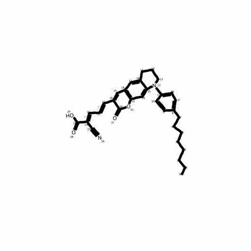 CCCCCCCCc1ccc(N2CCCc3cc4cc(/C=C/C=C(\C#N)C(=O)O)c(=O)oc4cc32)cc1